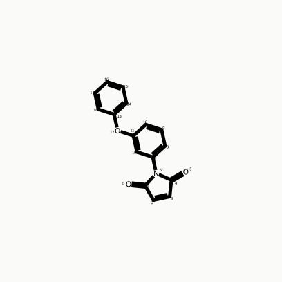 O=C1C=CC(=O)N1c1cccc(Oc2ccccc2)c1